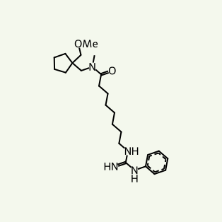 COCC1(CN(C)C(=O)CCCCCCCNC(=N)Nc2ccccc2)CCCC1